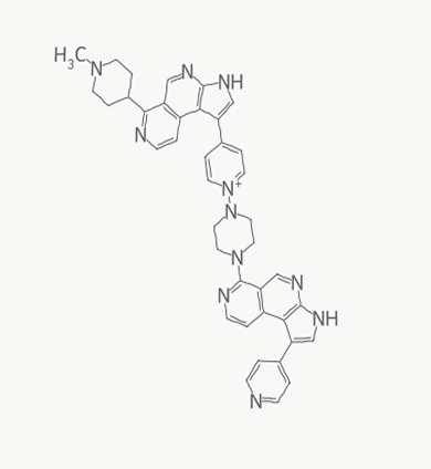 CN1CCC(c2nccc3c2cnc2[nH]cc(-c4cc[n+](N5CCN(c6nccc7c6cnc6[nH]cc(-c8ccncc8)c67)CC5)cc4)c23)CC1